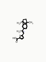 C/C(=C\c1ccc(C(=O)O)s1)c1ccc2c(c1)C1(C)CCC2(C)C1